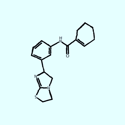 O=C(Nc1cccc(C2CN3CCSC3=N2)c1)C1=CCCCC1